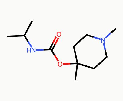 CC(C)NC(=O)OC1(C)CCN(C)CC1